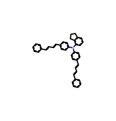 C(/C=C/c1ccc(N(c2ccc(/C=C/C=C/c3ccccc3)cc2)c2cccc3c2CCC3)cc1)=C\c1ccccc1